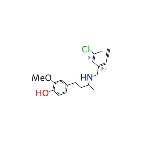 C#C/C=C(\C=C(/C)Cl)CNC(C)CCc1ccc(O)c(OC)c1